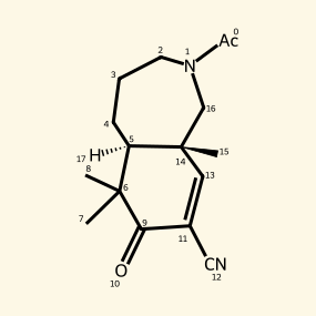 CC(=O)N1CCC[C@@H]2C(C)(C)C(=O)C(C#N)=C[C@@]2(C)C1